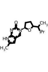 Cc1cc2cn([C@H]3CCC(C(C)C(C)C)O3)c(=O)nc2[nH]1